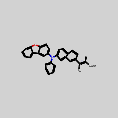 CO/C(C)=C(\C(C)=O)c1ccc2ccc(N(c3ccccc3)c3ccc4oc5ccccc5c4c3)cc2c1